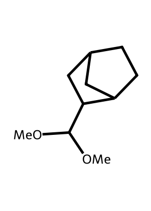 COC(OC)C1CC2CCC1C2